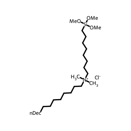 CCCCCCCCCCCCCCCCCC[N+](C)(C)CCCCCCCC[Si](OC)(OC)OC.[Cl-]